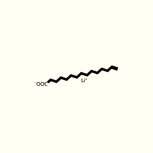 C=CCCCCCCCCCCCCC(=O)[O-].[Li+]